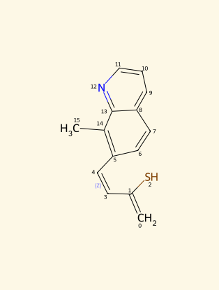 C=C(S)/C=C\c1ccc2cccnc2c1C